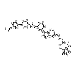 Cc1nc(-c2ccc(CNc3cc(-c4cnc5cc(OCCN6CCC(=O)N(C)CC6)ccn45)ncn3)cc2)co1